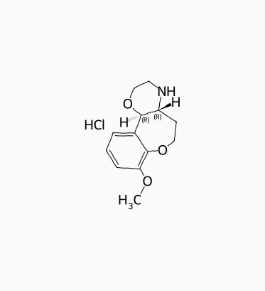 COc1cccc2c1OCC[C@H]1NCCO[C@H]21.Cl